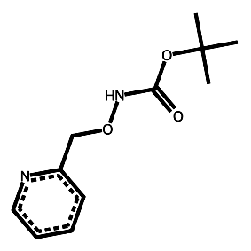 CC(C)(C)OC(=O)NOCc1ccccn1